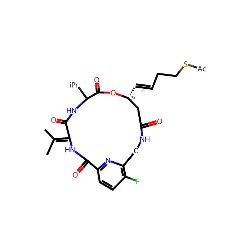 CC(=O)SCC/C=C/[C@@H]1CC(=O)NCc2nc(ccc2F)C(=O)NC(=C(C)C)C(=O)NC(C(C)C)C(=O)O1